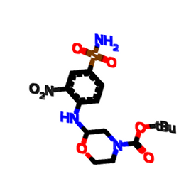 CC(C)(C)OC(=O)N1CCOC(Nc2ccc(S(N)(=O)=O)cc2[N+](=O)[O-])C1